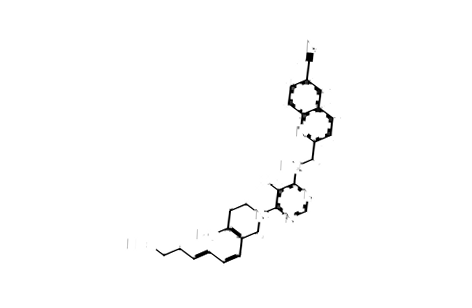 CCC/C=C/C=C\C1=C(C)CCN(c2ncnc(NCc3ccc4cc(C#N)ccc4n3)c2C)C1